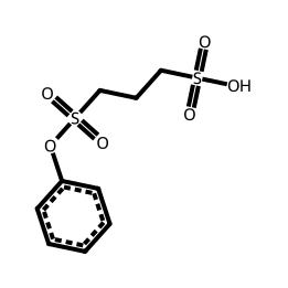 O=S(=O)(O)CCCS(=O)(=O)Oc1ccccc1